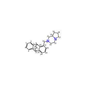 c1ccc2c(c1)C1CCC2c2c(CN3CCN4CCCC4C3)cccc21